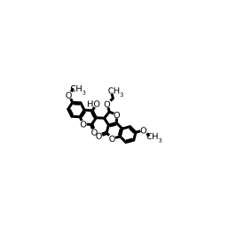 CCOC1Oc2c(c(=O)oc3ccc(OC)cc23)C1c1c(O)c2cc(OC)ccc2oc1=O